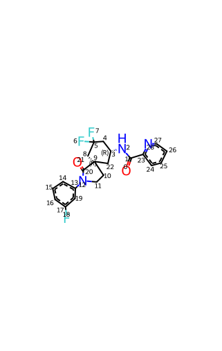 O=C(N[C@H]1CC(F)(F)C[C@@]2(CCN(c3cccc(F)c3)C2=O)C1)c1ccccn1